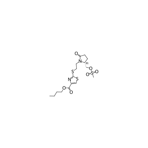 CCCCOC(=O)c1csc(SCCN2C(=O)CC[C@@H]2COS(C)(=O)=O)n1